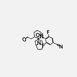 N#Cc1cc(F)c(N2CCCC(CC=O)C2N2C3CCC2CC(O)C3)c(F)c1